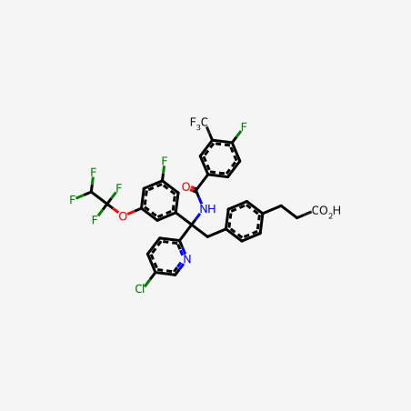 O=C(O)CCc1ccc(CC(NC(=O)c2ccc(F)c(C(F)(F)F)c2)(c2cc(F)cc(OC(F)(F)C(F)F)c2)c2ccc(Cl)cn2)cc1